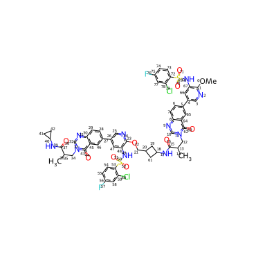 COc1ncc(-c2ccc3ncn(CC(C)C(=O)NC4CC(COc5ncc(-c6ccc7ncn(CC(C)C(=O)NC8CC8)c(=O)c7c6)cc5NS(=O)(=O)c5ccc(F)cc5Cl)C4)c(=O)c3c2)cc1NS(=O)(=O)c1ccc(F)cc1Cl